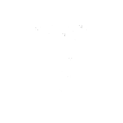 Cc1c(N)cccc1N(Cc1ccc(C#N)cc1)Cc1ccc(Oc2cccc(OCCc3cccs3)c2)cc1